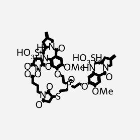 C=C1C[C@H]2[C@H](S(=O)(=O)O)Nc3cc(OCCP(=O)(CCOc4cc5c(cc4OC)C(=O)N4CC(=C)C[C@H]4[C@H](S(=O)(=O)O)N5)CCSC4CC(=O)N(CCCC(=O)ON5C(=O)CCC5=O)C4=O)c(OC)cc3C(=O)N2C1